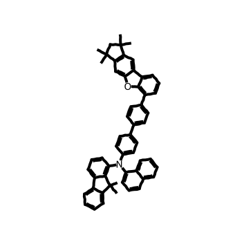 CC1(C)CC(C)(C)c2cc3c(cc21)oc1c(-c2ccc(-c4ccc(N(c5cccc6c5C(C)(C)c5ccccc5-6)c5cccc6ccccc56)cc4)cc2)cccc13